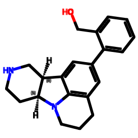 OCc1ccccc1-c1cc2c3c(c1)[C@@H]1CNCC[C@@H]1N3CCC2